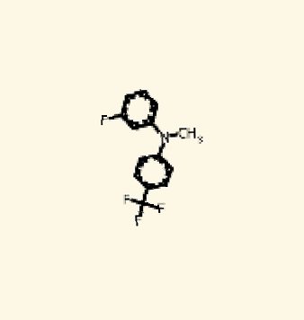 CN(c1ccc(C(F)(F)F)cc1)c1cccc(F)c1